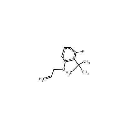 C=CCOc1cccc(F)c1C(C)(C)C